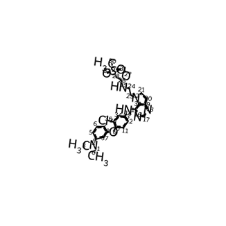 CCN(C)c1cccc(Oc2ccc(Nc3ncnc4ccn(CCNC(=O)CS(C)(=O)=O)c34)cc2Cl)c1